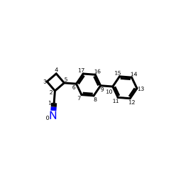 N#CC1CCC1c1ccc(-c2ccccc2)cc1